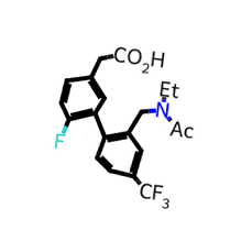 CCN(Cc1cc(C(F)(F)F)ccc1-c1cc(CC(=O)O)ccc1F)C(C)=O